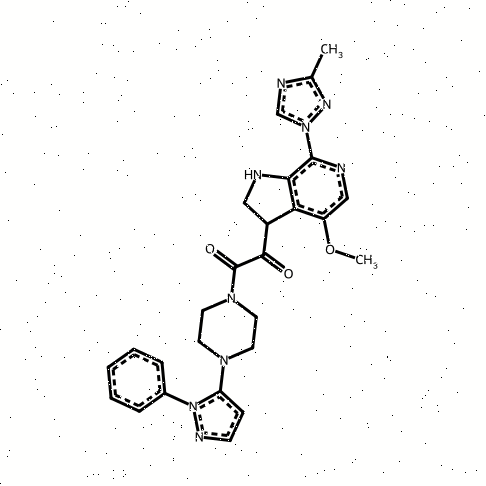 COc1cnc(-n2cnc(C)n2)c2c1C(C(=O)C(=O)N1CCN(c3ccnn3-c3ccccc3)CC1)CN2